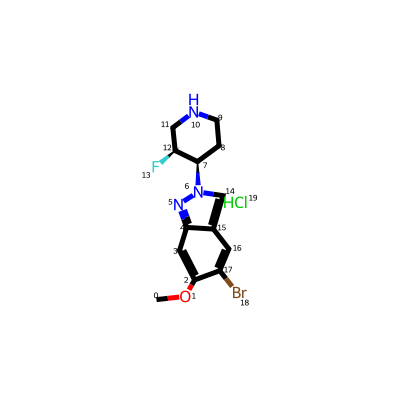 COc1cc2nn([C@@H]3CCNC[C@@H]3F)cc2cc1Br.Cl